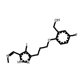 C/N=C\c1[nH]nc(CCCOc2ccc(F)cc2CO)c1I